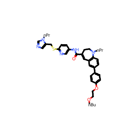 CCCCOCCOc1ccc(-c2ccc3c(c2)C=C(C(=O)Nc2ccc(SCc4cncn4CCC)nc2)CCN3CCC)cc1